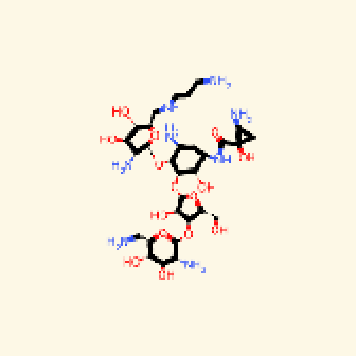 NCCCNC[C@H]1O[C@H](O[C@H]2[C@H](O[C@@H]3O[C@H](CO)[C@@H](O[C@H]4O[C@@H](CN)[C@@H](O)[C@H](O)[C@H]4N)[C@H]3O)[C@@H](O)[C@H](NC(=O)C3(O)CC3N)C[C@@H]2N)[C@H](N)[C@@H](O)[C@@H]1O